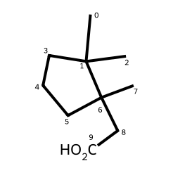 CC1(C)CCCC1(C)CC(=O)O